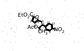 CCOC(=O)c1ccc(C[C@@H](c2ccc([N+](=O)[O-])cc2)[C@@H](C)OC(C)=O)o1